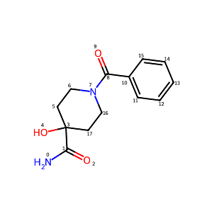 NC(=O)C1(O)CCN(C(=O)c2ccccc2)CC1